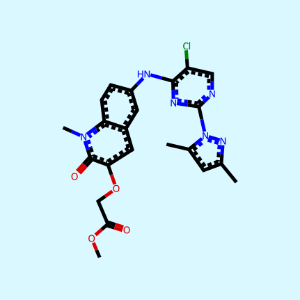 COC(=O)COc1cc2cc(Nc3nc(-n4nc(C)cc4C)ncc3Cl)ccc2n(C)c1=O